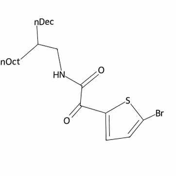 CCCCCCCCCCC(CCCCCCCC)CNC(=O)C(=O)c1ccc(Br)s1